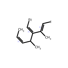 C/C=C\C(C)C(=C/CC)/C(C)=C/I